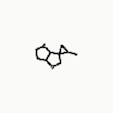 CC1CC12COC1CCSC12